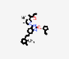 C=CC(=O)C(=C)CCN(C[C@@H](C)CC#N)c1nc(OC[C@@H]2CCCC2C=C)nc2c1CCC(/C=C/c1cccc(C)c1C(F)(F)F)C2